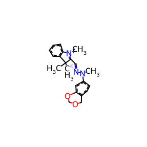 CN(/N=C/C1=[N+](C)c2ccccc2C1(C)C)c1ccc2c(c1)OCOC2